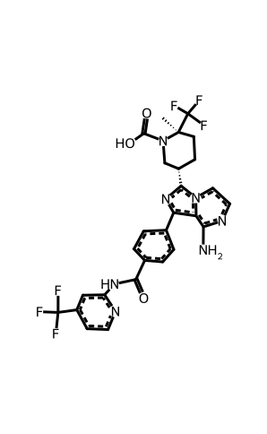 C[C@]1(C(F)(F)F)CC[C@H](c2nc(-c3ccc(C(=O)Nc4cc(C(F)(F)F)ccn4)cc3)c3c(N)nccn23)CN1C(=O)O